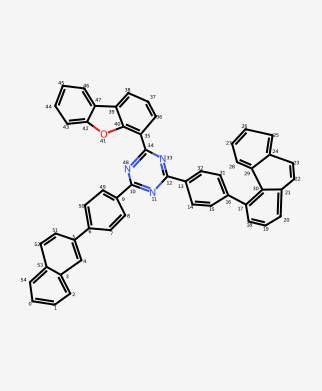 c1ccc2cc(-c3ccc(-c4nc(-c5ccc(-c6cccc7ccc8ccccc8c67)cc5)nc(-c5cccc6c5oc5ccccc56)n4)cc3)ccc2c1